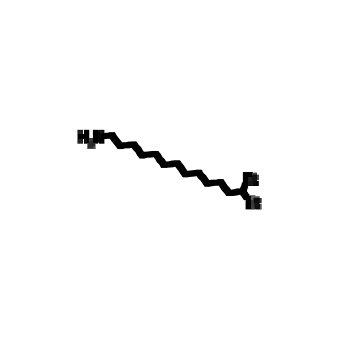 CCC(CC)CCCCCCCCCCCCN